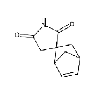 O=C1CC2(CC3C=CC2C3)C(=O)N1